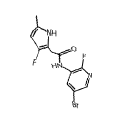 Cc1cc(F)c(C(=O)Nc2cc(Br)cnc2F)[nH]1